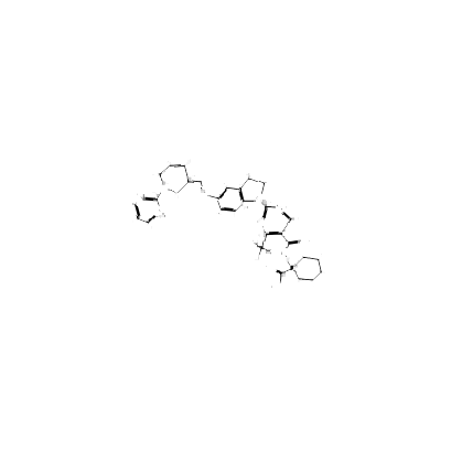 O=C(NC1(C(=O)O)CCCCC1)c1cnc(N2CCc3cc(OCC4CCCN(c5ncccn5)C4)ccc32)nc1C(F)(F)F